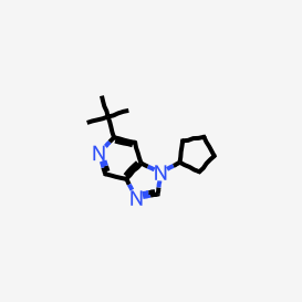 CC(C)(C)c1cc2c(cn1)ncn2C1CCCC1